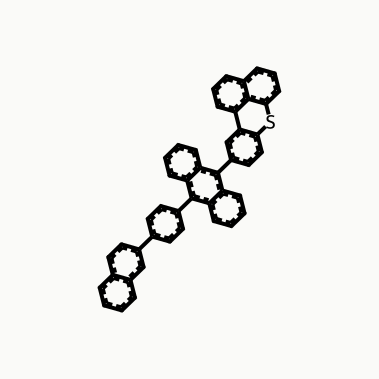 c1ccc2cc(-c3ccc(-c4c5ccccc5c(-c5ccc6c(c5)-c5cccc7cccc(c57)S6)c5ccccc45)cc3)ccc2c1